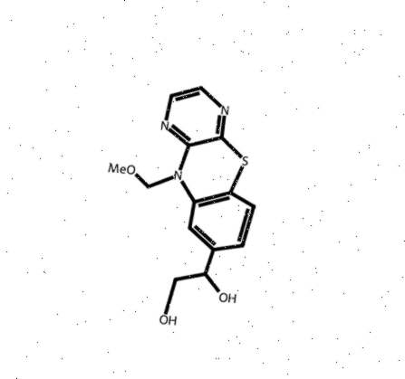 COCN1c2cc(C(O)CO)ccc2Sc2nccnc21